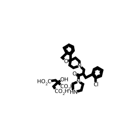 O=C(C(Cc1ccccc1Cl)CN1CCC2(CC1)OCc1ccccc12)N1CCNCC1.O=C(O)CC(O)(CC(=O)O)C(=O)O